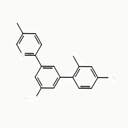 Cc1ccc(-c2cc(C(=O)O)cc(-c3ccc(C#N)cc3C)c2)nc1